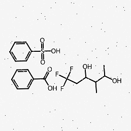 CC(O)C(C)C(O)CC(F)(F)F.O=C(O)c1ccccc1.O=S(=O)(O)c1ccccc1